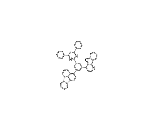 c1ccc(-c2cc(-c3ccccc3)nc(-c3cc(-c4ccc5c6c(cccc46)-c4ccccc4-5)cc(-c4ccnc5c4oc4ccccc45)c3)n2)cc1